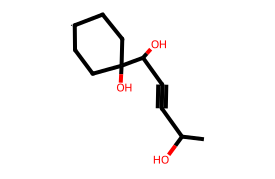 CC(O)C#CC(O)C1(O)CC[CH]CC1